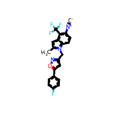 [C-]#[N+]c1ccc2c(cc(C)n2Cc2cc(-c3ccc(F)cc3)on2)c1C(F)(F)F